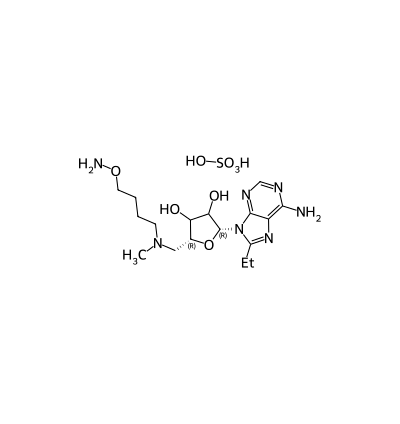 CCc1nc2c(N)ncnc2n1[C@@H]1O[C@H](CN(C)CCCCON)C(O)C1O.O=S(=O)(O)O